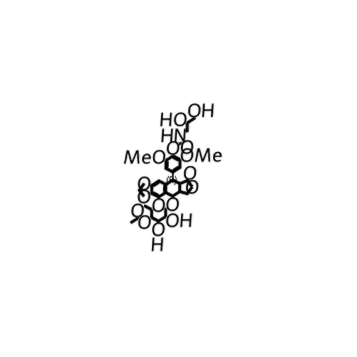 COc1cc([C@@H]2c3cc4c(cc3C(OC3OC5COC(C)OC5C(O)C3O)C3COC(=O)C32)OCO4)cc(OC)c1OC(=O)NCC(O)CO